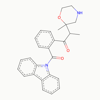 CC(C(=O)c1ccccc1C(=O)n1c2ccccc2c2ccccc21)C1(C)CNCCO1